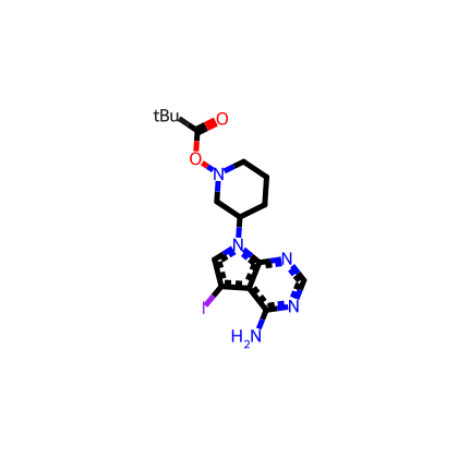 CC(C)(C)C(=O)ON1CCCC(n2cc(I)c3c(N)ncnc32)C1